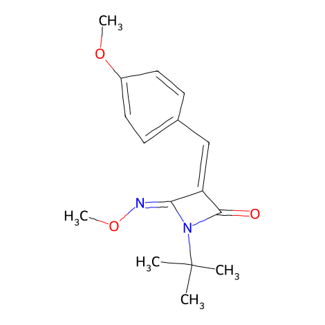 CON=C1C(=Cc2ccc(OC)cc2)C(=O)N1C(C)(C)C